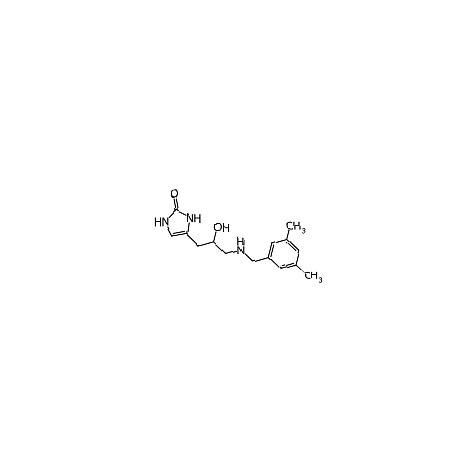 Cc1cc(C)cc(CNCC(O)Cc2c[nH]c(=O)[nH]2)c1